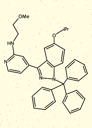 COCCNc1cc(-c2nn(C(c3ccccc3)(c3ccccc3)c3ccccc3)c3ccc(OC(C)C)cc23)ccn1